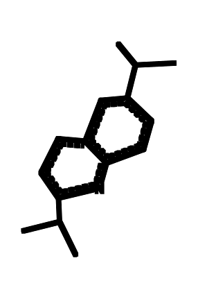 CC(C)c1ccc2nc(C(C)C)ccc2c1